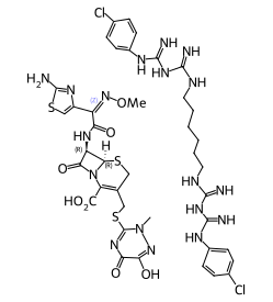 CO/N=C(\C(=O)N[C@@H]1C(=O)N2C(C(=O)O)=C(CSc3nc(=O)c(O)nn3C)CS[C@H]12)c1csc(N)n1.N=C(NCCCCCCNC(=N)NC(=N)Nc1ccc(Cl)cc1)NC(=N)Nc1ccc(Cl)cc1